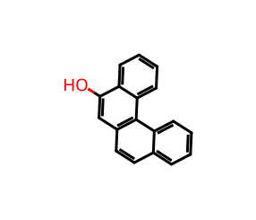 Oc1cc2ccc3ccccc3c2c2ccccc12